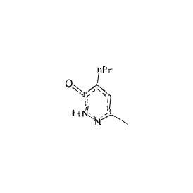 CCCc1cc(C)n[nH]c1=O